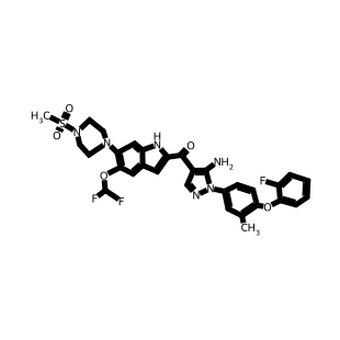 Cc1cc(-n2ncc(C(=O)c3cc4cc(OC(F)F)c(N5CCN(S(C)(=O)=O)CC5)cc4[nH]3)c2N)ccc1Oc1ccccc1F